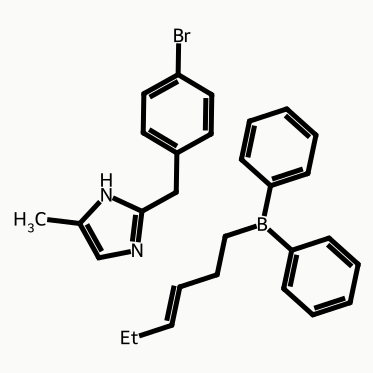 CCC=CCCB(c1ccccc1)c1ccccc1.Cc1cnc(Cc2ccc(Br)cc2)[nH]1